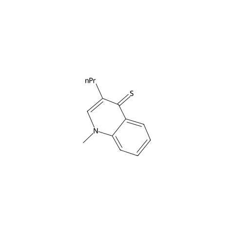 CCCc1cn(C)c2ccccc2c1=S